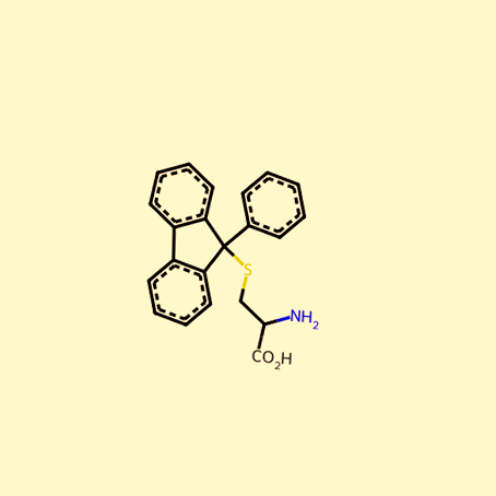 NC(CSC1(c2ccccc2)c2ccccc2-c2ccccc21)C(=O)O